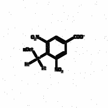 CCCCCCCC[N+](CC)(CC)c1c([N+](=O)[O-])cc(C(=O)[O-])cc1[N+](=O)[O-]